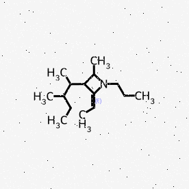 C/C=C1\C(C(C)C(C)CC)C(C)N1CCC